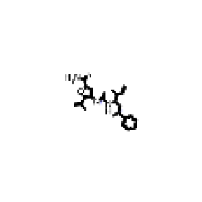 C=CC(C)C(/C=C(\C)c1ccccc1)N/C(C)=N/c1cc(C(N)=S)oc1C(=C)C